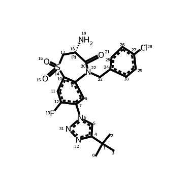 CC(C)(C)c1cn(-c2cc3c(cc2F)S(=O)(=O)C[C@H](N)C(=O)N3Cc2ccc(Cl)cc2)nn1